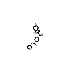 O=C(Oc1cccnc1)N1CCN(C(=O)c2cc3cc(Cl)ccc3[nH]2)CC1